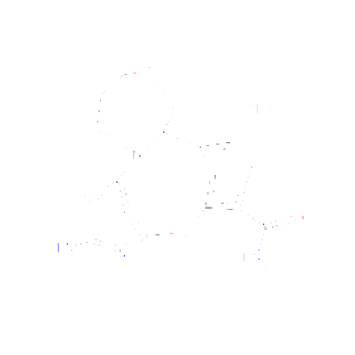 CNC(=O)c1cc(Cl)c2cc1Oc1cc(nc(N)n1)N1CCCOC[C@@H]21